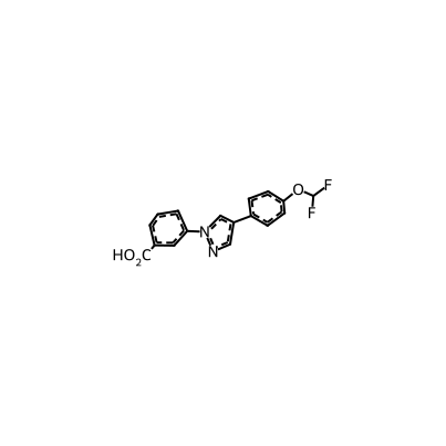 O=C(O)c1cccc(-n2cc(-c3ccc(OC(F)F)cc3)cn2)c1